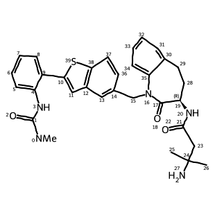 CNC(=O)Nc1ccccc1-c1cc2cc(CN3C(=O)[C@H](NC(=O)CC(C)(C)N)CCc4ccccc43)ccc2s1